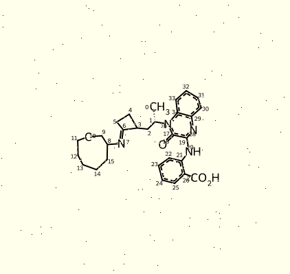 C[C@@H](CC1CCC1=NC1CCCCCCC1)n1c(=O)c(Nc2ccccc2C(=O)O)nc2ccccc21